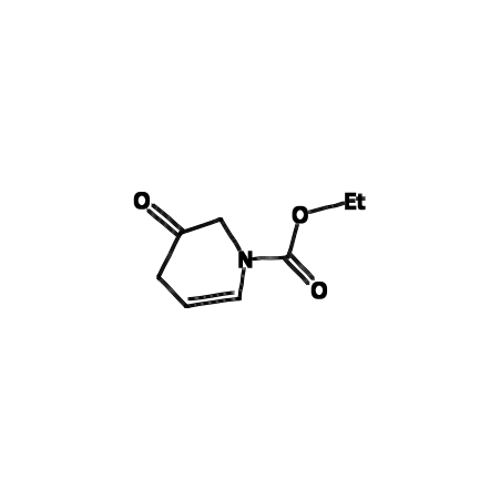 CCOC(=O)N1C=CCC(=O)C1